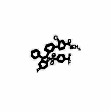 COC(=O)c1ccc(-c2cccc(-c3c(-c4ccccc4)c4cc(F)ccc4n3S(=O)(=O)c3ccc(C(F)F)cc3)c2)c(Cl)c1